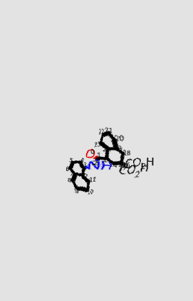 O=C(Nc1cccc2ccccc12)C1CC(C(=O)O)(C(=O)O)Cc2ccccc21